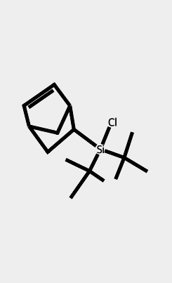 CC(C)(C)[Si](Cl)(C1CC2C=CC1C2)C(C)(C)C